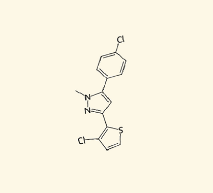 Cn1nc(-c2sccc2Cl)cc1-c1ccc(Cl)cc1